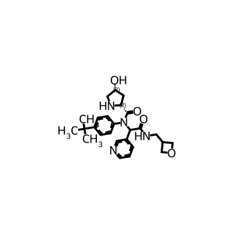 CC(C)(C)c1ccc(N(C(=O)[C@H]2C[C@@H](O)CN2)C(C(=O)NCC2COC2)c2cccnc2)cc1